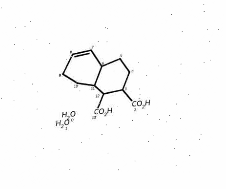 O.O.O=C(O)C1CCC2C=CCCC2C1C(=O)O